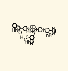 CCCn1ccnc1C1CCN(C2CCN(C(=O)[C@@H](Cc3cc(C)c4[nH]ncc4c3)NC(=O)N3CCC(c4cc5ccccc5[nH]c4=O)CC3)CC2)CC1